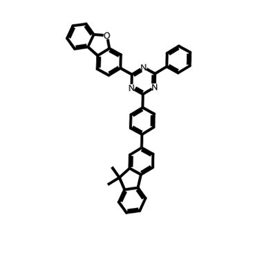 CC1(C)c2ccccc2-c2ccc(-c3ccc(-c4nc(-c5ccccc5)nc(-c5ccc6c(c5)oc5ccccc56)n4)cc3)cc21